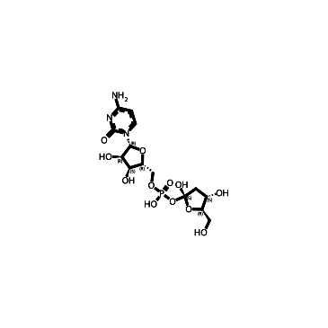 Nc1ccn([C@@H]2O[C@H](COP(=O)(O)O[C@]3(O)C[C@H](O)[C@@H](CO)O3)[C@@H](O)[C@H]2O)c(=O)n1